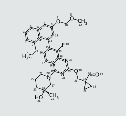 CCc1cccc2cc(OCOC)cc(-c3ccc4c(N5CCC[C@@](C)(O)C5)nc(OCC5(C=O)CC5)nc4c3F)c12